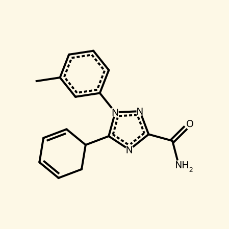 Cc1cccc(-n2nc(C(N)=O)nc2C2C=CC=CC2)c1